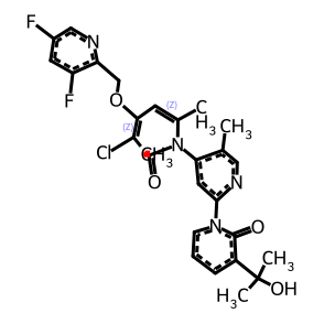 C/C(=C/C(OCc1ncc(F)cc1F)=C(\C)Cl)N(C=O)c1cc(-n2cccc(C(C)(C)O)c2=O)ncc1C